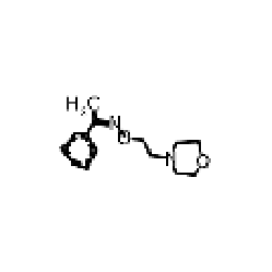 CC(=NOCCN1CCOCC1)c1ccccc1